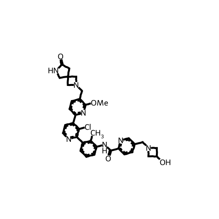 COc1nc(-c2ccnc(-c3cccc(NC(=O)c4ccc(CN5CC(O)C5)cn4)c3C)c2Cl)ccc1CN1CC2(CNC(=O)C2)C1